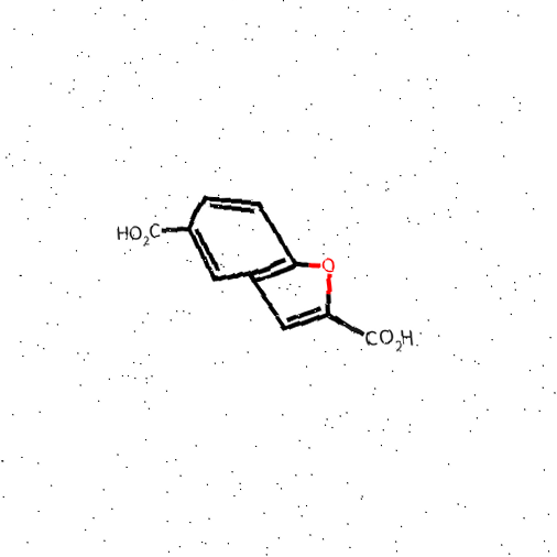 O=C(O)c1ccc2oc(C(=O)O)cc2c1